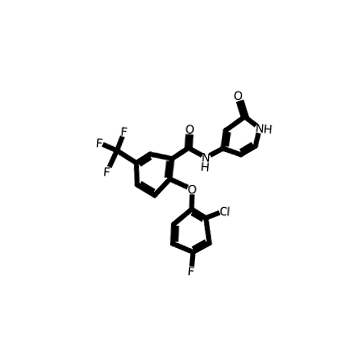 O=C(Nc1cc[nH]c(=O)c1)c1cc(C(F)(F)F)ccc1Oc1ccc(F)cc1Cl